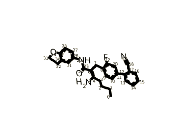 CCCC/C(N)=C(\Cc1ccc(-c2ccccc2C#N)cc1F)C(=O)Nc1ccc2c(c1)CCO2